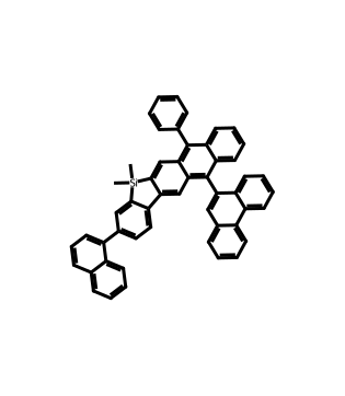 C[Si]1(C)c2cc(-c3cccc4ccccc34)ccc2-c2cc3c(-c4cc5ccccc5c5ccccc45)c4ccccc4c(-c4ccccc4)c3cc21